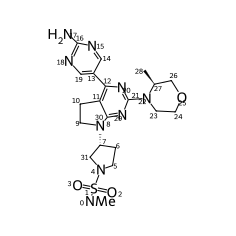 CNS(=O)(=O)N1CC[C@@H](N2CCc3c(-c4cnc(N)nc4)nc(N4CCOC[C@@H]4C)nc32)C1